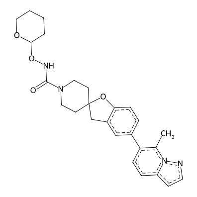 Cc1c(-c2ccc3c(c2)CC2(CCN(C(=O)NOC4CCCCO4)CC2)O3)ccc2ccnn12